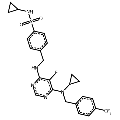 O=S(=O)(NC1CC1)c1ccc(CNc2ncnc(N(Cc3ccc(C(F)(F)F)cc3)C3CC3)c2F)cc1